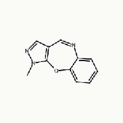 Cn1ncc2c1Oc1ccccc1N=C2